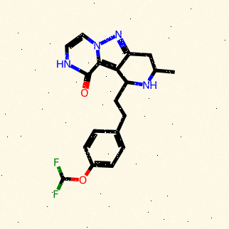 CC1Cc2nn3cc[nH]c(=O)c3c2C(CCc2ccc(OC(F)F)cc2)N1